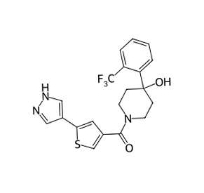 O=C(c1csc(-c2cn[nH]c2)c1)N1CCC(O)(c2ccccc2C(F)(F)F)CC1